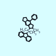 CC1Cc2c(cc3c(c2-c2ccccc2)CCC3)C1S(C)(C)C1c2ccccc2-c2ccccc21